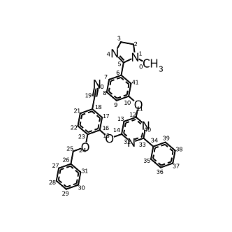 CN1CCN=C1c1cccc(Oc2cc(Oc3cc(C#N)ccc3OCc3ccccc3)nc(-c3ccccc3)n2)c1